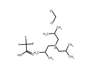 CC(C)C[SiH](CC(C)C)CC(C)C.ClCCl.O=C(O)C(F)(F)F